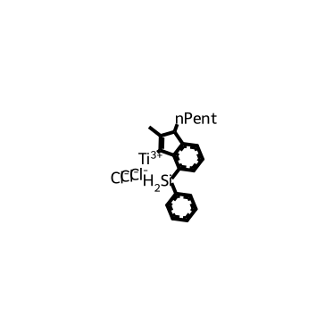 CCCCCC1C(C)=[C]([Ti+3])c2c([SiH2]c3ccccc3)cccc21.[Cl-].[Cl-].[Cl-]